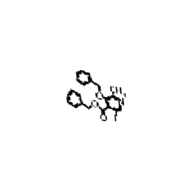 Cc1ncc(I)c(C(=O)OCc2ccccc2)c1OCc1ccccc1